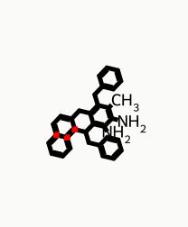 Cc1c(N)c(N)c(C(Cc2ccccc2)Cc2ccccc2)c(Cc2ccccc2)c1Cc1ccccc1